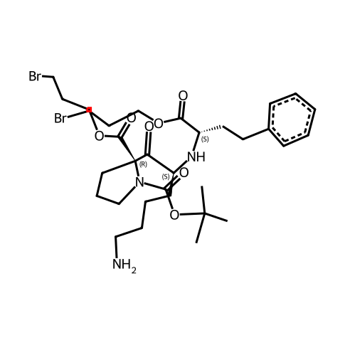 CC(C)(C)OC(=O)N1CCC[C@]1(C(=O)OCCCBr)C(=O)[C@H](CCCCN)N[C@@H](CCc1ccccc1)C(=O)OCCCBr